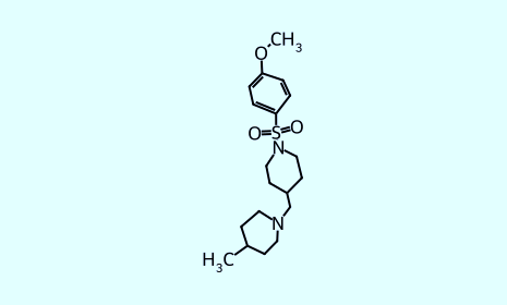 COc1ccc(S(=O)(=O)N2CCC(CN3CCC(C)CC3)CC2)cc1